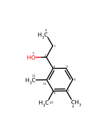 CCC(O)c1ccc(C)c(C)c1C